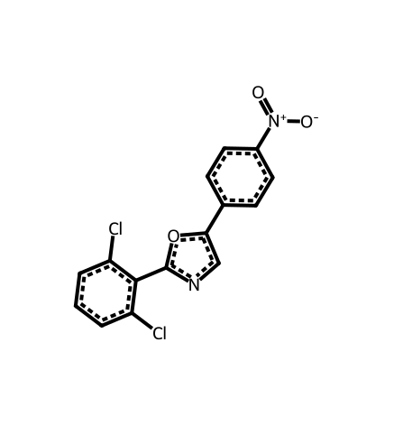 O=[N+]([O-])c1ccc(-c2cnc(-c3c(Cl)cccc3Cl)o2)cc1